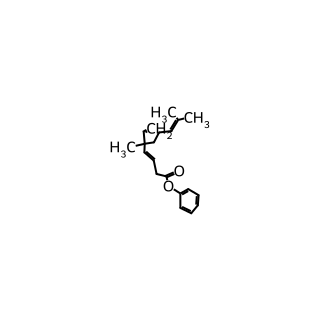 C=CC(C)(C=CCC(=O)Oc1ccccc1)CCC=C(C)C